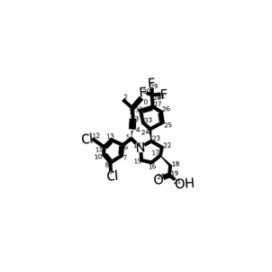 C=C(C)C#C[C@@H](c1cc(Cl)cc(Cl)c1)N1CC[C@H](CC(=O)O)C[C@@H]1C1C=CC(C(F)(F)F)=CC1